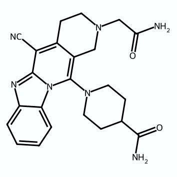 N#Cc1c2c(c(N3CCC(C(N)=O)CC3)n3c1nc1ccccc13)CN(CC(N)=O)CC2